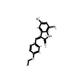 CCOc1ccc(C=C2C(=O)Nc3c(Br)cc(Br)cc32)cc1